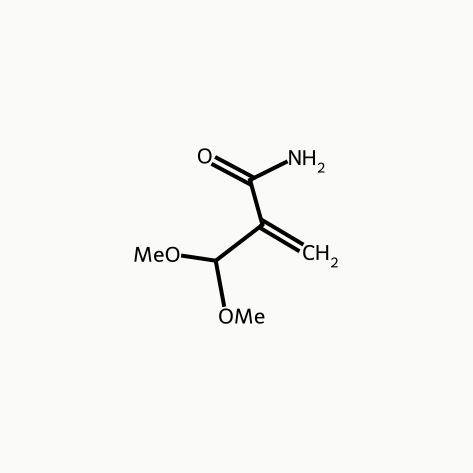 C=C(C(N)=O)C(OC)OC